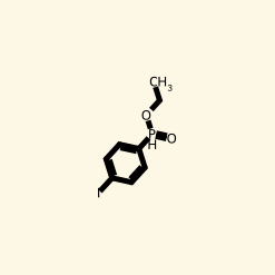 CCO[PH](=O)c1ccc(I)cc1